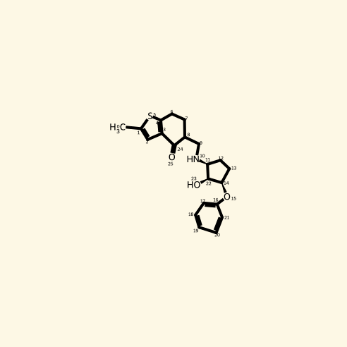 Cc1cc2c(s1)CCC(CN[C@H]1CC[C@@H](Oc3ccccc3)[C@H]1O)C2=O